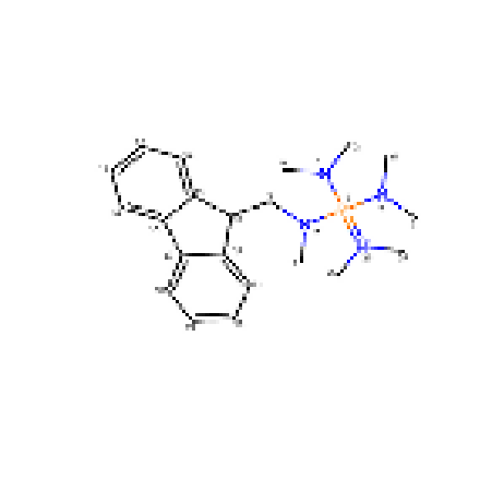 CN(C)P(N(C)C)(N(C)CC1c2ccccc2-c2ccccc21)=[N+](C)C